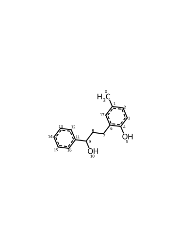 Cc1ccc(O)c(CCC(O)c2ccccc2)c1